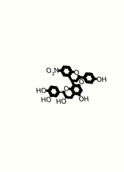 O=[N+]([O-])c1ccc2c(c1)C1CC(c3ccc(O)cc3)(O2)Oc2cc(O)c3c(c21)O[C@H](c1ccc(O)c(O)c1)[C@@H](O)C3